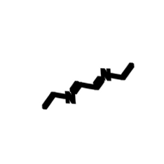 CCN=CC=NCC